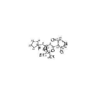 CC[Si](CC)(CC)OC(CNCC1(F)CCCC1)c1c(Cl)cncc1Cl